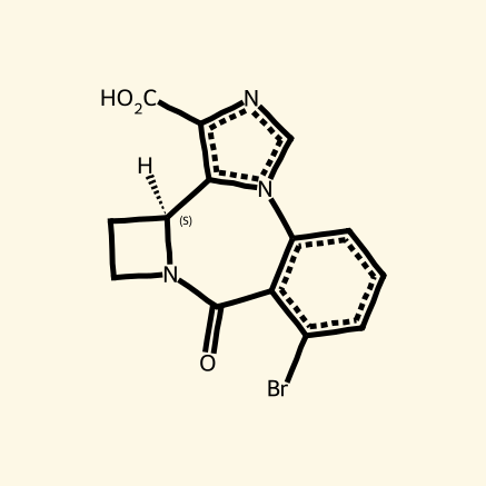 O=C(O)c1ncn2c1[C@@H]1CCN1C(=O)c1c(Br)cccc1-2